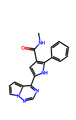 CNC(=O)c1cc(-c2ncnn3cccc23)[nH]c1-c1ccccc1